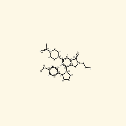 CCCN1Cc2c(nc(N3CCN(C(C)=O)CC3)nc2N2CCCC2c2ccc(OC)cc2)C1=O